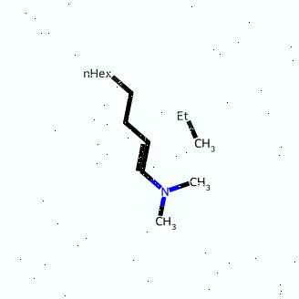 CCC.CCCCCCCCC=CN(C)C